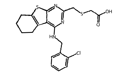 O=C(O)CSCc1nc(NCc2ccccc2Cl)c2c3c(sc2n1)CCCC3